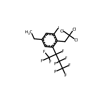 CCc1[c]c(I)c(CC(Cl)(Cl)Cl)c(C(F)(C(F)(F)F)C(F)(F)C(F)(F)F)c1